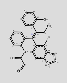 C=CC(=O)Oc1ccccc1/C(=C(/CC)c1ccncc1Cl)c1ccc2[nH]ncc2c1F